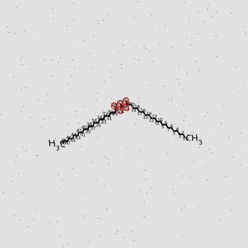 CCCCCCCCCCCCCCCCCCCCCC(=O)OC(=O)OC(=O)CCCCCCCCCCCCCCCCCCCCC